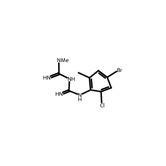 CNC(=N)NC(=N)Nc1c(C)cc(Br)cc1Cl